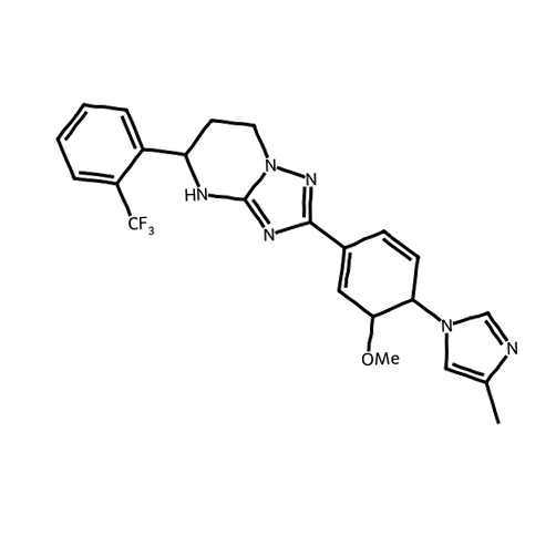 COC1C=C(c2nc3n(n2)CCC(c2ccccc2C(F)(F)F)N3)C=CC1n1cnc(C)c1